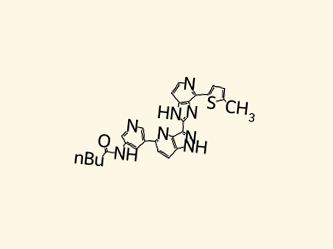 CCCCC(=O)Nc1cncc(-c2ccc3[nH]nc(-c4nc5c(-c6ccc(C)s6)nccc5[nH]4)c3n2)c1